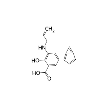 C=CCNc1cccc(C(=O)O)c1O.c1cc2cc-2c1